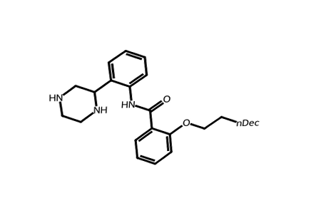 CCCCCCCCCCCCOc1ccccc1C(=O)Nc1ccccc1C1CNCCN1